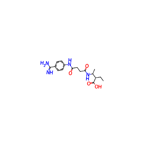 CCC(C(=O)O)C(C)NC(=O)CCC(=O)Nc1ccc(C(=N)N)cc1